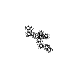 CC1(C)c2ccccc2-c2cccc(-c3ccc(N(c4ccc(-c5cccc(-c6ccc7ccccc7c6)c5)cc4)c4cccc5c4sc4ccccc45)cc3)c21